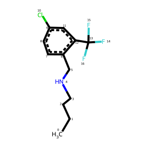 CCCCNCc1ccc(Cl)cc1C(F)(F)F